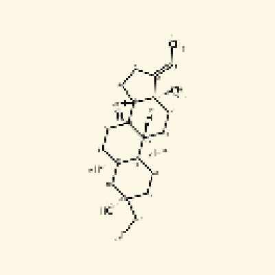 CC=C1CC[C@H]2[C@@H]3CC[C@@H]4C[C@](O)(CF)CC[C@@H]4[C@H]3CC[C@]12C